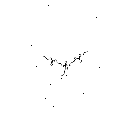 CCCCNP(=O)(OCCOC(=O)OCCC)OCCOC(=O)OCCC